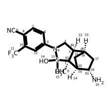 C[C@@]12[C@@H](CN(c3ccc(C#N)c(C(F)(F)F)c3)S1(O)O)[C@H]1C[C@H](N)[C@@H]2C1